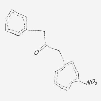 O=C(Cc1ccccc1)Cc1cccc([N+](=O)[O-])c1